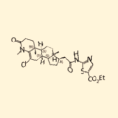 CCOC(=O)c1cnc(NC(=O)C[C@H]2CC[C@H]3[C@@H]4CC(Cl)=C5N(C)C(=O)CC[C@]5(C)[C@H]4CC[C@]23C)s1